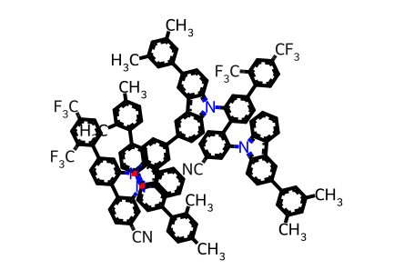 Cc1cc(C)cc(-c2ccc3c(c2)c2ccccc2n3-c2cc(C#N)ccc2-c2ccc(-c3ccc(C(F)(F)F)cc3C(F)(F)F)cc2-n2c3ccc(-c4cc(C)cc(C)c4)cc3c3cc(-c4ccc5c(c4)c4cc(-c6ccc(C)cc6C)ccc4n5-c4cc(-c5ccc(C(F)(F)F)cc5C(F)(F)F)ccc4-c4ccc(C#N)cc4-n4c5ccccc5c5cc(-c6ccc(C)cc6C)ccc54)ccc32)c1